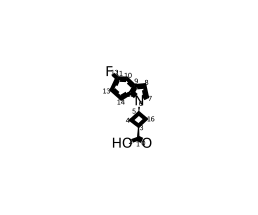 O=C(O)[C@H]1C[C@H](n2ccc3cc(F)ccc32)C1